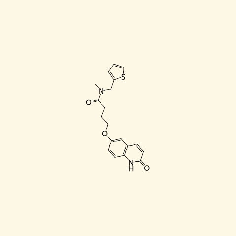 CN(Cc1cccs1)C(=O)CCCOc1ccc2[nH]c(=O)ccc2c1